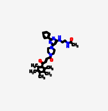 CC(=O)NCCNc1cc(N2CCN(C(=O)/C=C/C(=O)c3c(C)c(C)c(C)c(C)c3C)CC2)nc(-c2ccccc2)n1